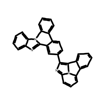 c1ccc2c(c1)nc1c3cc(-c4nc5cccc6c7ccccc7c4n56)ccc3c3ccccc3n21